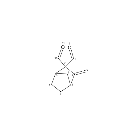 C=C1C2CCC(C2)C1(C=O)C=O